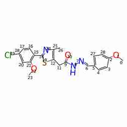 COc1ccc(C=NNC(=O)Cc2sc(-c3ccc(Cl)cc3OC)nc2C)cc1